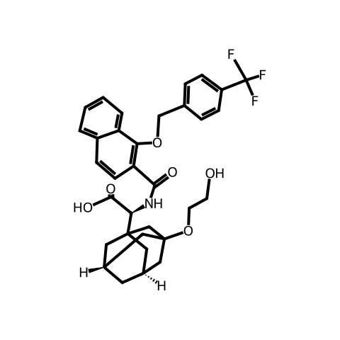 O=C(N[C@H](C(=O)O)C12C[C@@H]3C[C@@H](CC(OCCO)(C3)C1)C2)c1ccc2ccccc2c1OCc1ccc(C(F)(F)F)cc1